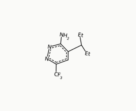 CCC(CC)c1cc(C(F)(F)F)nnc1N